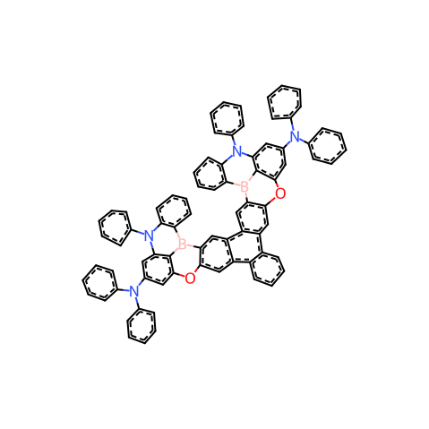 c1ccc(N(c2ccccc2)c2cc3c4c(c2)N(c2ccccc2)c2ccccc2B4c2cc4c(cc2O3)c2ccccc2c2cc3c(cc24)B2c4ccccc4N(c4ccccc4)c4cc(N(c5ccccc5)c5ccccc5)cc(c42)O3)cc1